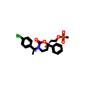 C[C@@H](c1ccc(Br)cc1)N1CC[C@](CCOS(C)(=O)=O)(c2ccccc2)OC1=O